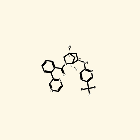 O=C(c1ccccc1-c1cnccn1)N1C[C@H]2C[C@@H](Nc3ccc(C(F)(F)F)cn3)[C@@H]1C2